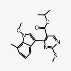 COn1cc(-c2nc(SC)ncc2C(=O)OC(C)C)c2cccc(C)c21